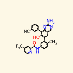 Cc1ccc(NC(=O)c2cc(C(F)(F)F)ccn2)cc1-c1cc2cnc(N)nc2c(-c2cccc(C#N)c2)c1O